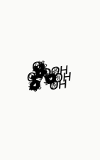 O=C(c1ccccc1)c1cc(O[C@H]2SC[C@@H](O)[C@H](O)[C@H]2O)c2ccocc1-2